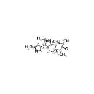 C[C@@H]1C(=O)C(C#N)=C[C@]2(C)c3nn(C)c(-c4cnn(C)c4)c3CC[C@@H]12